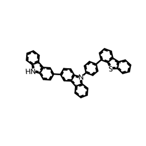 c1ccc2c(c1)[nH]c1ccc(-c3ccc4c(c3)c3ccccc3n4-c3ccc(-c4cccc5c4sc4ccccc45)cc3)cc12